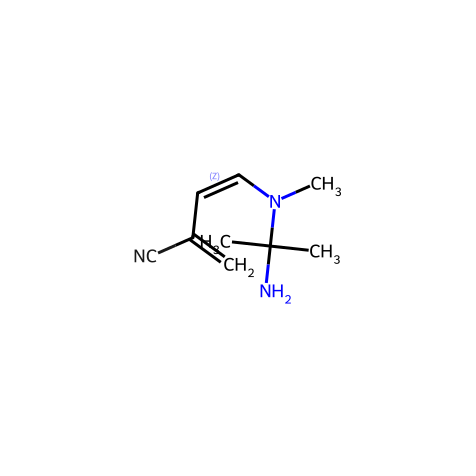 C=C(C#N)/C=C\N(C)C(C)(C)N